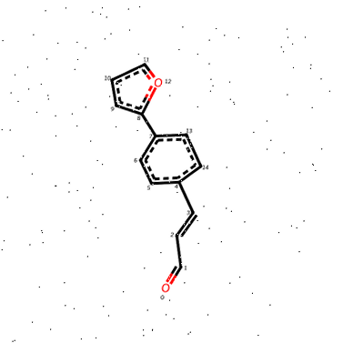 O=CC=Cc1ccc(-c2ccco2)cc1